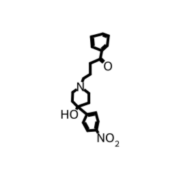 O=C(CCCN1CCC(O)(c2ccc([N+](=O)[O-])cc2)CC1)c1ccccc1